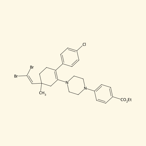 CCOC(=O)c1ccc(N2CCN(C3=C(c4ccc(Cl)cc4)CCC(C)(C=C(Br)Br)C3)CC2)cc1